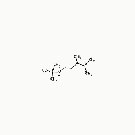 CC(C)C(C)CCNC(C)(C)C